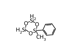 C[Si]1(c2ccccc2)O[SiH2]O[SiH2]O1